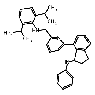 CC(C)c1cccc(C(C)C)c1NCc1cccc(-c2cccc3c2C(Nc2ccccc2)CC3)n1